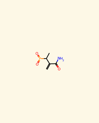 C=C(C(N)=O)C(C)P(=O)=O